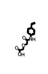 C=Cc1ccc(NC(=O)COCC(=O)O)cc1